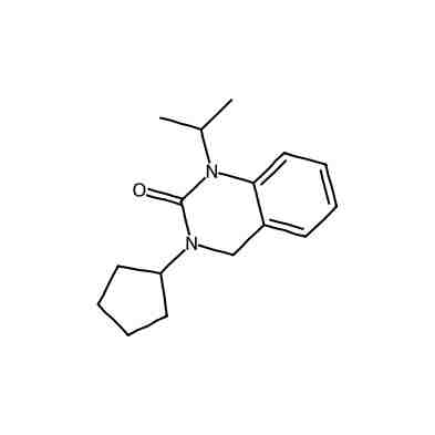 CC(C)N1C(=O)N(C2CCCC2)Cc2ccccc21